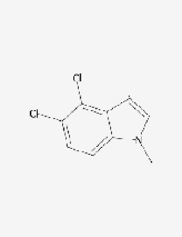 Cn1c[c]c2c(Cl)c(Cl)ccc21